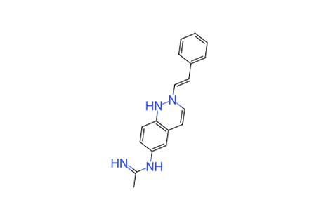 CC(=N)Nc1ccc2c(c1)C=CN(/C=C/c1ccccc1)N2